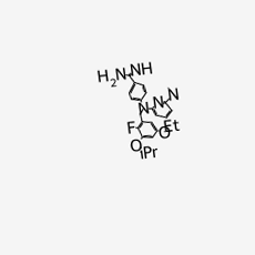 CCOc1cc(CN(c2ccc(C(=N)N)cc2)c2cccc(N(C)C)n2)c(F)c(OC(C)C)c1